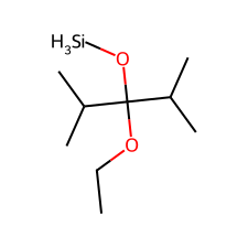 CCOC(O[SiH3])(C(C)C)C(C)C